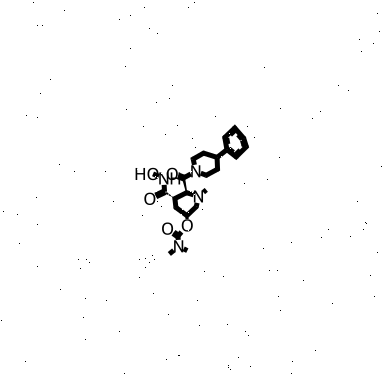 CN(C)C(=O)O[C@H]1C[C@H](C(=O)NO)[C@@H](C(=O)N2CCC(c3ccccc3)CC2)N(C)C1